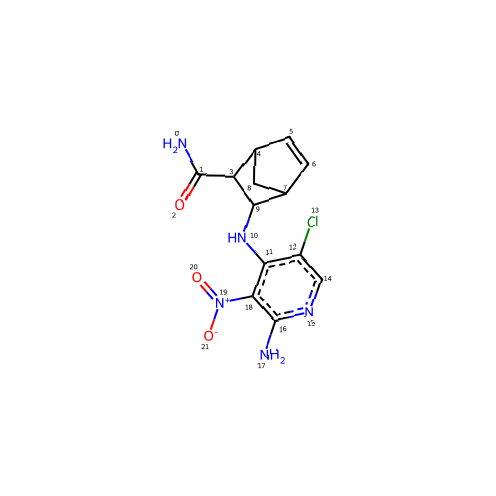 NC(=O)C1C2C=CC(C2)C1Nc1c(Cl)cnc(N)c1[N+](=O)[O-]